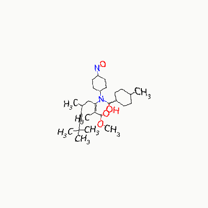 COC(=O)/C(C)=C(/CC(C)C#CC(C)(C)C)N(C1CCC(N=O)CC1)[C@H](O)C1CCC(C)CC1